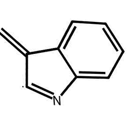 C=C1[C]=Nc2ccccc21